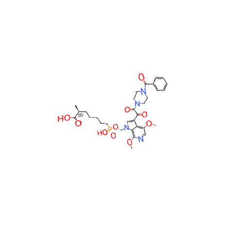 COc1cnc(OC)c2c1c(C(=O)C(=O)N1CCN(C(=O)c3ccccc3)CC1)cn2COP(=O)(O)CCCCC[C@H](C)C(=O)O